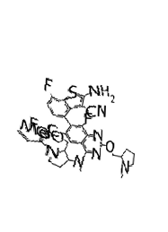 C=CC(=O)N1CCC(N(C)c2nc(OCC3CCCN3C)nc3c(F)c(-c4ccc(F)c5sc(N)c(C#N)c45)c(C(F)(F)F)cc23)C1COC